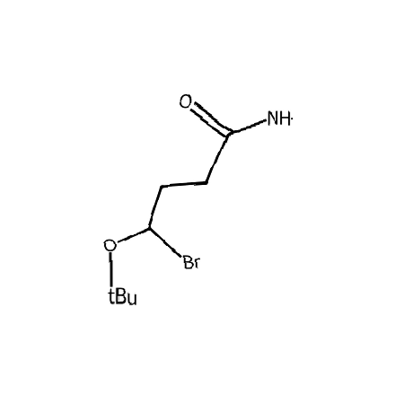 CC(C)(C)OC(Br)CCC([NH])=O